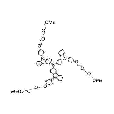 COCCOCCOCCOc1ccc(-n2c3ccccc3c3cc(N(c4ccc5c(c4)c4ccccc4n5-c4ccc(OCCOCCOCCOC)cc4)c4ccc5c(c4)c4ccccc4n5-c4ccc(OCCOCCOCCOC)cc4)ccc32)cc1